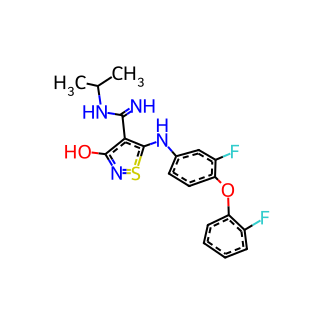 CC(C)NC(=N)c1c(O)nsc1Nc1ccc(Oc2ccccc2F)c(F)c1